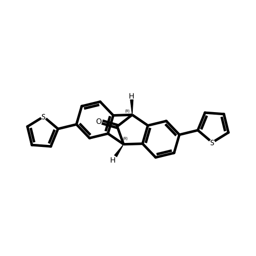 O=C1[C@@H]2c3ccc(-c4cccs4)cc3[C@H]1c1ccc(-c3cccs3)cc12